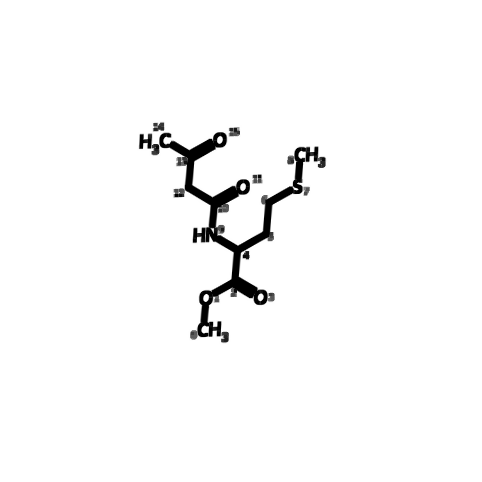 COC(=O)C(CCSC)NC(=O)CC(C)=O